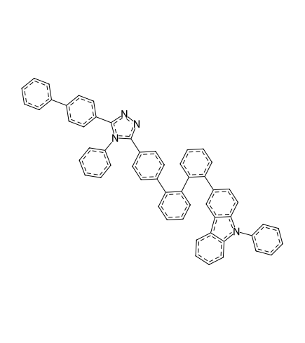 c1ccc(-c2ccc(-c3nnc(-c4ccc(-c5ccccc5-c5ccccc5-c5ccc6c(c5)c5ccccc5n6-c5ccccc5)cc4)n3-c3ccccc3)cc2)cc1